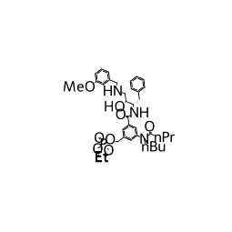 CCCCN(C(=O)CCC)c1cc(COP(=O)(OCC)OCC)cc(C(=O)N[C@@H](Cc2ccccc2)[C@H](O)CNCc2cccc(OC)c2)c1